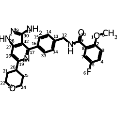 COc1ccc(F)cc1C(=O)NCc1ccc(-c2nc(C3CCOCC3)cc3[nH]nc(N)c23)cc1